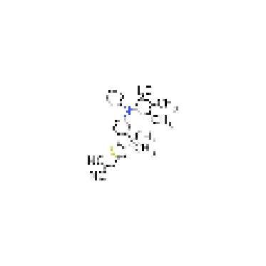 Cc1cc(N(c2ccccc2)c2ccc3c(c2)C(C)(C)c2cc(C=C(C#N)C#N)sc2-3)cc(C)c1C